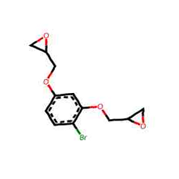 Brc1ccc(OCC2CO2)cc1OCC1CO1